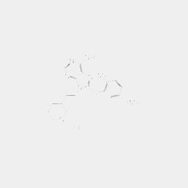 COc1ccc(OC)c(Sc2nc3c(N)ncnc3n2CCC2CCCN(C(=O)O)C2)c1